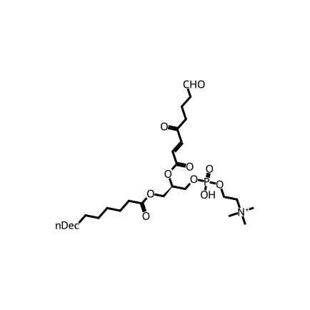 CCCCCCCCCCCCCCCC(=O)OC[C@H](COP(=O)(O)OCC[N+](C)(C)C)OC(=O)C=CC(=O)CCCC=O